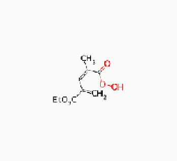 C=C(C=C(C)C(=O)OO)C(=O)OCC